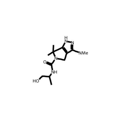 CNc1n[nH]c2c1CN(C(=O)NC(C)CO)C2(C)C